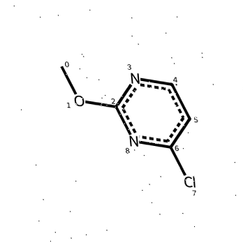 COc1n[c]cc(Cl)n1